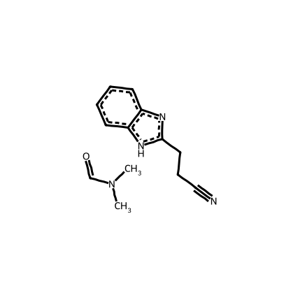 CN(C)C=O.N#CCCc1nc2ccccc2[nH]1